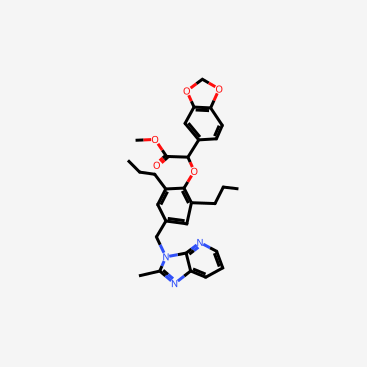 CCCc1cc(Cn2c(C)nc3cccnc32)cc(CCC)c1OC(C(=O)OC)c1ccc2c(c1)OCO2